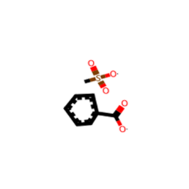 CS([O])(=O)=O.[O]C(=O)c1ccccc1